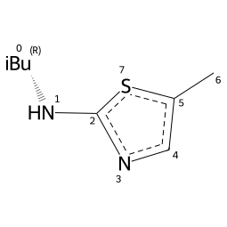 CC[C@@H](C)Nc1ncc(C)s1